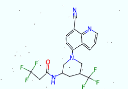 N#Cc1ccc(N2CC(NC(=O)CC(F)(F)F)CC(C(F)(F)F)C2)c2cccnc12